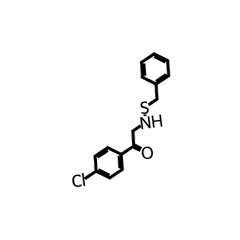 O=C(CNSCc1ccccc1)c1ccc(Cl)cc1